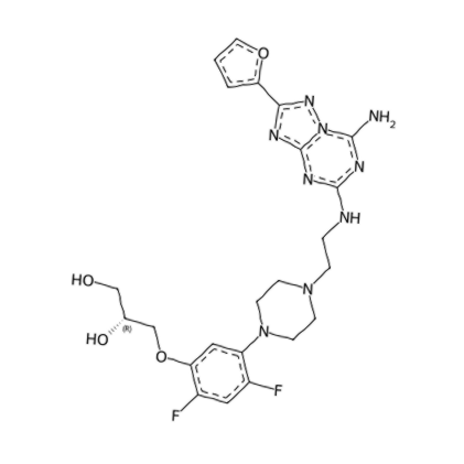 Nc1nc(NCCN2CCN(c3cc(OC[C@H](O)CO)c(F)cc3F)CC2)nc2nc(-c3ccco3)nn12